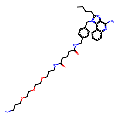 CCCCc1nc2c(N)nc3ccccc3c2n1Cc1ccc(CNC(=O)CCCC(=O)NCCCOCCOCCOCCCN)cc1